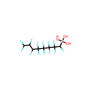 O[Si](O)(O)C(F)C(F)(F)C(F)(F)C(F)(F)C(F)(F)C(F)C(F)C(F)F